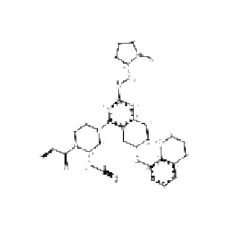 C=CC(=O)N1CCN(c2nc(OC[C@@H]3CCCN3C)nc3c2CC[C@@H](N2CCCc4cccc(Cl)c42)C3)C[C@@H]1CC#N